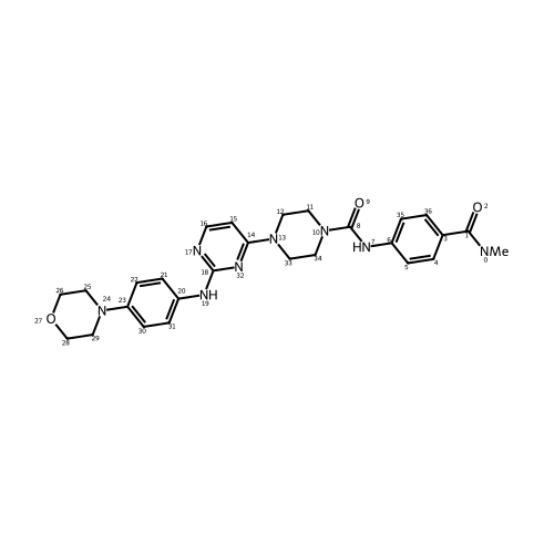 CNC(=O)c1ccc(NC(=O)N2CCN(c3ccnc(Nc4ccc(N5CCOCC5)cc4)n3)CC2)cc1